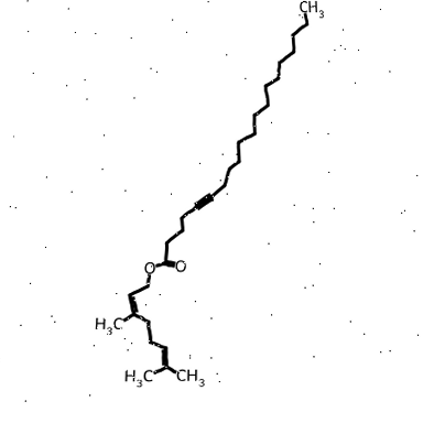 CCCCCCCCCCCCCCC#CCCCC(=O)OCC=C(C)CCC=C(C)C